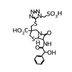 O=C(NC1C(=O)N2CC(CSc3nnnn3CS(=O)(=O)O)(C(=O)O)CS[C@H]12)C(O)c1ccccc1